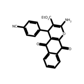 CCOC(=O)C1=C(N)OC2=C(C(=O)c3ccccc3C2=O)C1c1ccc(C#N)cc1